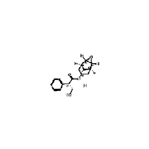 CN1[C@@H]2C[C@@H](OC(=O)[C@H](CO)c3ccccc3)C[C@H]1[C@@H]1O[C@@H]12.I